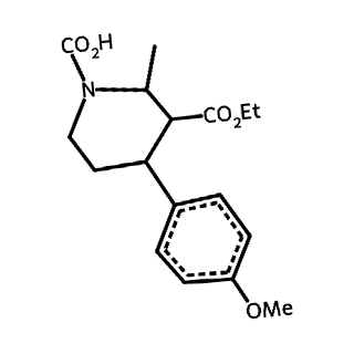 CCOC(=O)C1C(c2ccc(OC)cc2)CCN(C(=O)O)C1C